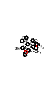 CC(C)(C)c1ccc(N2c3cc(N4c5ccccc5C5(C)CCCCC45C)cc4c3B(c3cc5c(cc3N4c3cccc4oc6ccccc6c34)C(C)(C)CCC5(C)C)c3ccc4c(sc5ccccc54)c32)c(-c2ccccc2)c1